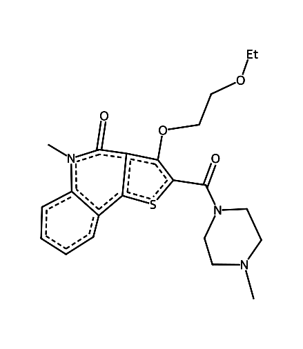 CCOCCOc1c(C(=O)N2CCN(C)CC2)sc2c1c(=O)n(C)c1ccccc21